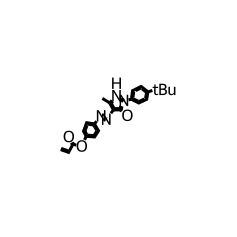 C=CC(=O)Oc1ccc(/N=N/c2c(C)[nH]n(-c3ccc(C(C)(C)C)cc3)c2=O)cc1